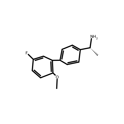 COc1ccc(F)cc1-c1ccc([C@@H](C)N)cc1